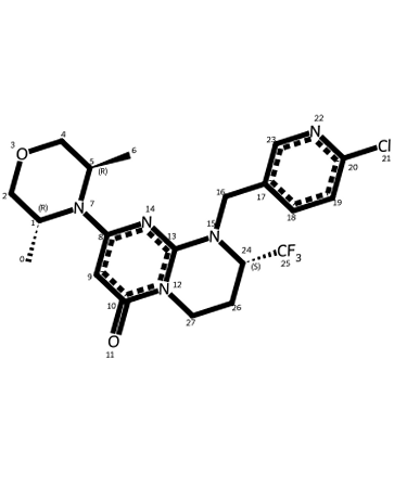 C[C@@H]1COC[C@@H](C)N1c1cc(=O)n2c(n1)N(Cc1ccc(Cl)nc1)[C@H](C(F)(F)F)CC2